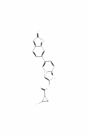 O=C1C=c2ccc(-c3ccc4nc(NC(=O)C5CC5F)cn4c3)cc2=N1